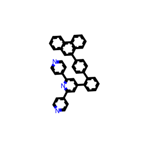 c1ccc(-c2cc(-c3ccncc3)nc(-c3ccncc3)c2)c(-c2ccc(-c3cc4ccccc4c4ccccc34)cc2)c1